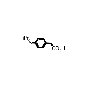 CC(C)Sc1ccc(CC(=O)O)cc1